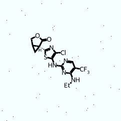 CCNc1nc(Nc2sc([C@]34CC3COC4=O)nc2Cl)ncc1C(F)(F)F